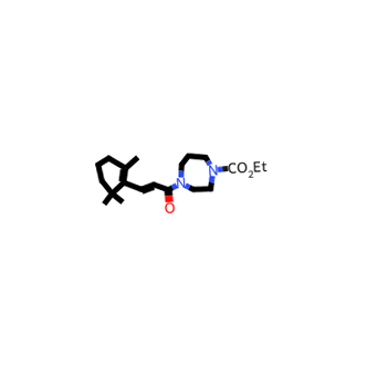 CCOC(=O)N1CCCN(C(=O)/C=C/C2=C(C)CCCC2(C)C)CC1